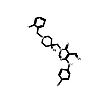 N=Cc1c(Nc2ccc(F)cc2)ncn(CC2(O)CCN(Cc3ccccc3Cl)CC2)c1=O